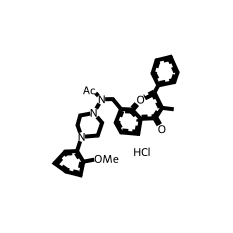 COc1ccccc1N1CCN(N(Cc2cccc3c(=O)c(C)c(-c4ccccc4)oc23)C(C)=O)CC1.Cl